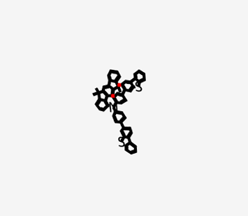 CC1(C)c2ccccc2-c2cc3c(cc21)-c1c(N(c2ccc(-c4ccc5c(c4)sc4ccccc45)cc2)c2ccc(-c4ccc5c(c4)sc4ccccc45)cc2)cccc1C3(C)C